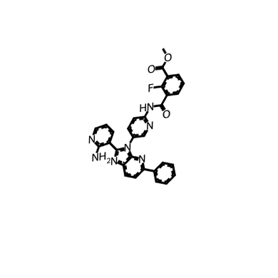 COC(=O)c1cccc(C(=O)Nc2ccc(-n3c(-c4cccnc4N)nc4ccc(-c5ccccc5)nc43)cn2)c1F